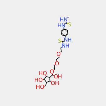 CNC(=S)Nc1ccc(NC(=S)NCCOCCOCCO[C@@H](O)C2C(O)C(CO)[C@@H](O)C2O)cc1